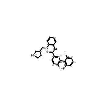 O=C(Nc1cnccc1OCC1CCNC1)c1ccc(F)c(-c2c(F)cccc2F)n1